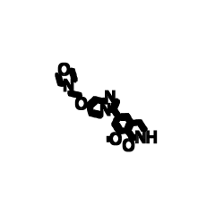 COc1cc(-c2cnc3cc(OCCN4CCOCC4)ccn23)cc2c1C(=O)NCC2